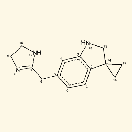 c1cc2c(cc1CC1=NCCN1)NCC21CC1